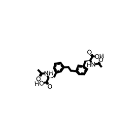 CC(=O)N[C@@H](Cc1cccc(CCc2cccc(C[C@@H](NC(C)=O)C(=O)O)c2)c1)C(=O)O